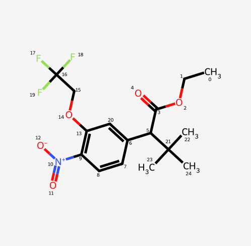 CCOC(=O)C(c1ccc([N+](=O)[O-])c(OCC(F)(F)F)c1)C(C)(C)C